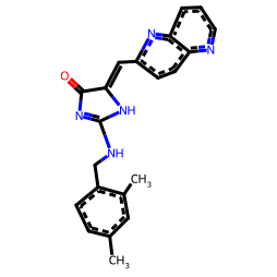 Cc1ccc(CNC2=NC(=O)/C(=C/c3ccc4ncccc4n3)N2)c(C)c1